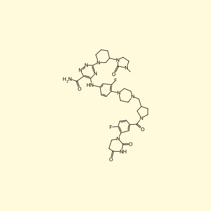 CN1CCN(C2CCCN(c3nnc(C(N)=O)c(Nc4ccc(N5CCN(CC6CCN(C(=O)c7ccc(F)c(N8CCC(=O)NC8=O)c7)C6)CC5)c(F)c4)n3)C2)C1=O